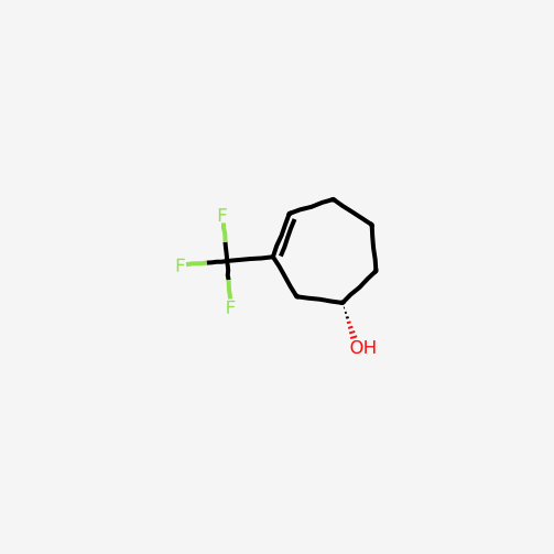 O[C@H]1CCCC=C(C(F)(F)F)C1